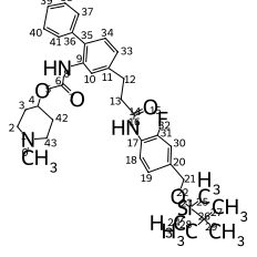 CN1CCC(OC(=O)Nc2cc(CCC(=O)Nc3ccc(CO[Si](C)(C)C(C)(C)C)cc3F)ccc2-c2ccccc2)CC1